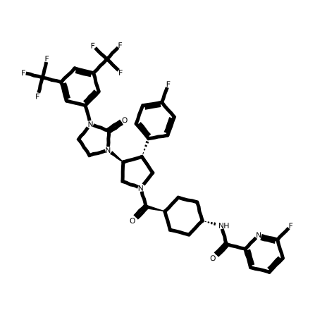 O=C(N[C@H]1CC[C@H](C(=O)N2C[C@@H](N3CCN(c4cc(C(F)(F)F)cc(C(F)(F)F)c4)C3=O)[C@H](c3ccc(F)cc3)C2)CC1)c1cccc(F)n1